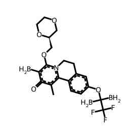 Bc1c(OC[C@@H]2COCCO2)n2c(c(C)c1=O)-c1ccc(OC(B)(B)C(F)(F)F)cc1CC2